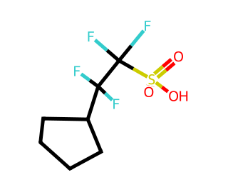 O=S(=O)(O)C(F)(F)C(F)(F)C1CCCC1